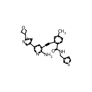 Cc1ccc(C(=O)NCc2ccsc2)c(C#Cc2cc(-c3cnn(C4COC4)c3)cnc2N)c1